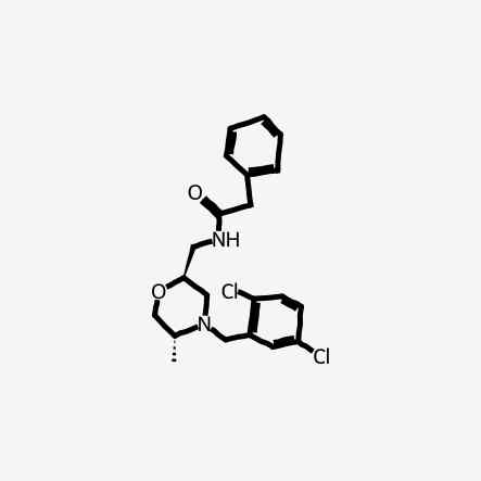 C[C@@H]1CO[C@@H](CNC(=O)Cc2ccccc2)CN1Cc1cc(Cl)ccc1Cl